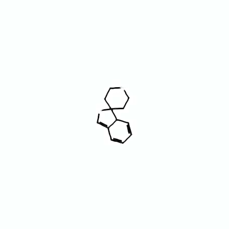 C1=CC2=COC3(CCNCC3)C2C=C1